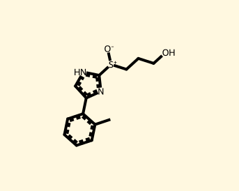 Cc1ccccc1-c1c[nH]c([S+]([O-])CCCO)n1